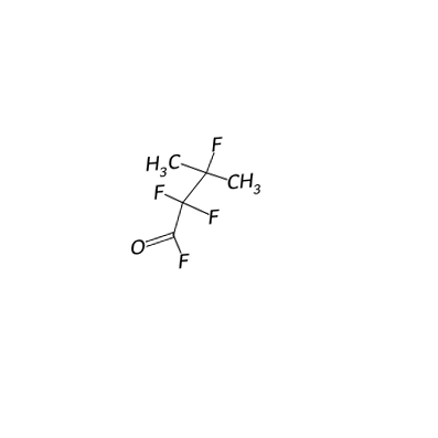 CC(C)(F)C(F)(F)C(=O)F